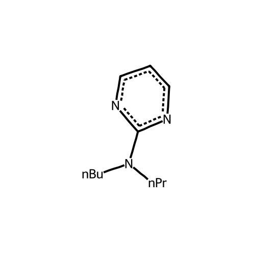 CCCCN(CCC)c1ncccn1